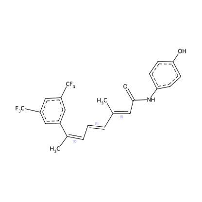 C/C(=C/C=C/C(C)=C/C(=O)Nc1ccc(O)cc1)c1cc(C(F)(F)F)cc(C(F)(F)F)c1